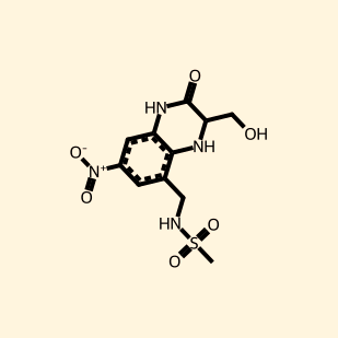 CS(=O)(=O)NCc1cc([N+](=O)[O-])cc2c1NC(CO)C(=O)N2